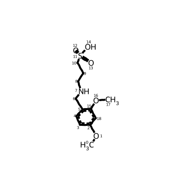 COc1ccc(CNCCCS(=O)(=O)O)c(OC)c1